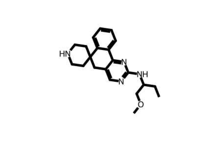 CCC(COC)Nc1ncc2c(n1)-c1ccccc1C1(CCNCC1)C2